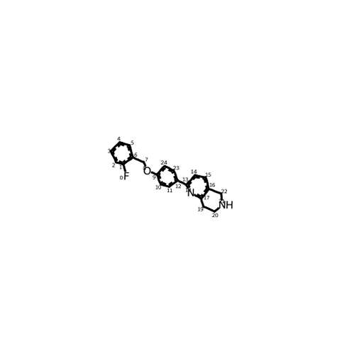 Fc1ccccc1COc1ccc(-c2ccc3c(n2)CCNC3)cc1